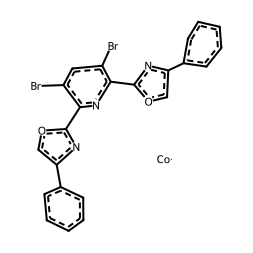 Brc1cc(Br)c(-c2nc(-c3ccccc3)co2)nc1-c1nc(-c2ccccc2)co1.[Co]